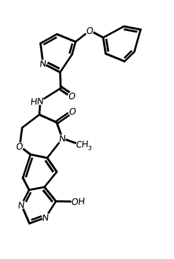 CN1C(=O)C(NC(=O)c2cc(Oc3ccccc3)ccn2)COc2cc3ncnc(O)c3cc21